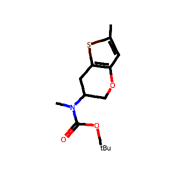 Cc1cc2c(s1)CC(N(C)C(=O)OC(C)(C)C)CO2